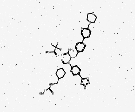 CC(C)(C)OC(=O)NC[C@H]1CC[C@H](C(=O)N(c2ccc(-c3nn[nH]n3)cc2)[C@@H](Cc2ccc(-c3ccc(N4CCOCC4)nc3)cc2)C(N)=O)CC1.O=C(O)C(F)(F)F